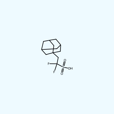 O=S(=O)(O)C(F)(F)CC12CC3CC(CC(C3)C1)C2